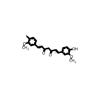 COc1cc(/C=C/C(=O)CC(=O)/C=C/c2ccc(I)c(OC)c2)ccc1O